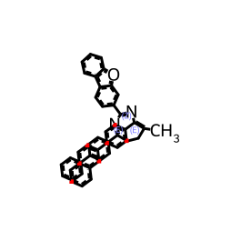 C\C1=C(c2ccc(-c3ccc4ccccc4c3)cc2)/N=C(c2ccc3c(c2)oc2ccccc23)\N=C(\c2ccc(-c3ccccc3)cc2)CC1